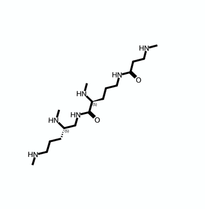 CNCCC[C@@H](CNC(=O)[C@H](CCCNC(=O)CCNC)NC)NC